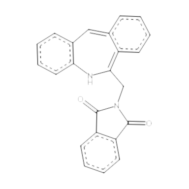 O=C1c2ccccc2C(=O)N1CC1=c2ccccc2=Cc2ccccc2N1